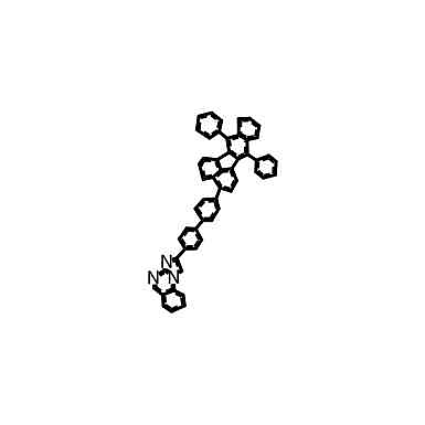 c1ccc(-c2c3c(c(-c4ccccc4)c4ccccc24)-c2ccc(-c4ccc(-c5ccc(-c6cn7c(ncc8ccccc87)n6)cc5)cc4)c4cccc-3c24)cc1